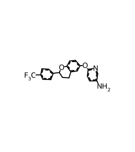 Nc1ccc(Oc2ccc3c(c2)CCC(c2ccc(C(F)(F)F)cc2)O3)nc1